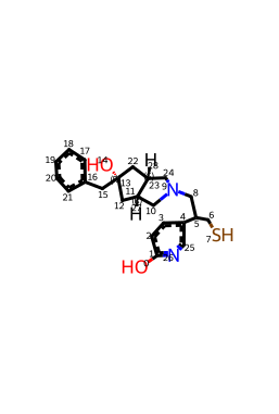 Oc1ccc(C(CS)CN2C[C@@H]3C[C@@](O)(Cc4ccccc4)C[C@@H]3C2)cn1